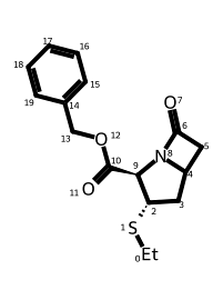 CCS[C@H]1CC2CC(=O)N2[C@@H]1C(=O)OCc1ccccc1